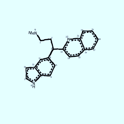 CNCCC(c1ccc2[nH]ccc2c1)c1ccc2ccccc2n1